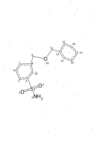 NS(=O)(=O)c1cccc(COCc2ccccc2)c1